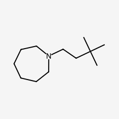 CC(C)(C)CCN1CCCCCC1